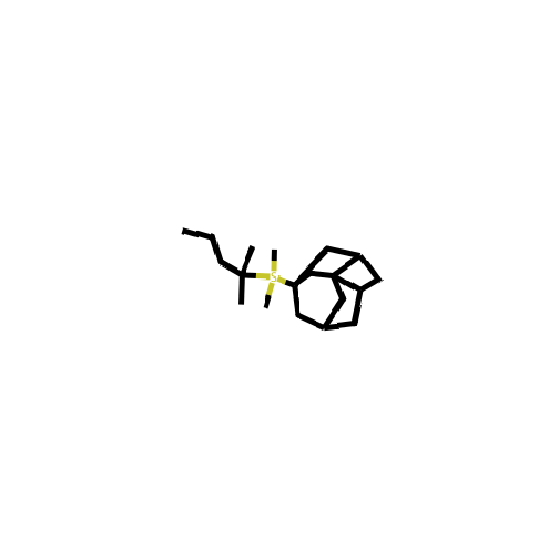 CCCC(C)(C)S(C)(C)C12CC3CC4CC(C1)C4(C3)C2